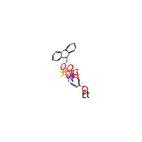 CCOc1ccnc([C@H](C)O[P@@](O)(=S)OCC2c3ccccc3-c3ccccc32)c1